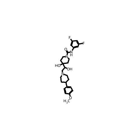 COc1ccc(C2CCN(CC(O)C3(O)CCN(C(=O)Nc4cc(F)cc(F)c4)CC3)CC2)cc1